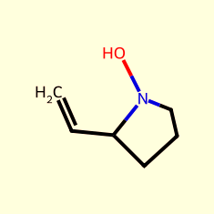 C=CC1CCCN1O